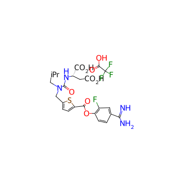 CC(C)CN(Cc1ccc(C(=O)Oc2ccc(C(=N)N)cc2F)s1)C(=O)N[C@@H](CC(=O)O)C(=O)O.O=C(O)C(F)(F)F